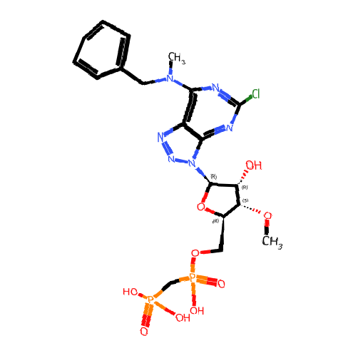 CO[C@H]1[C@@H](O)[C@H](n2nnc3c(N(C)Cc4ccccc4)nc(Cl)nc32)O[C@@H]1COP(=O)(O)CP(=O)(O)O